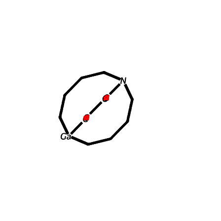 C1C[CH2][Ga]2[CH2]CCCN(C1)CCC[CH2]2